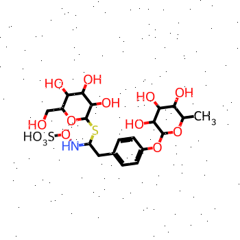 CC1OC(Oc2ccc(CC(NOS(=O)(=O)O)SC3OC(CO)C(O)C(O)C3O)cc2)C(O)C(O)C1O